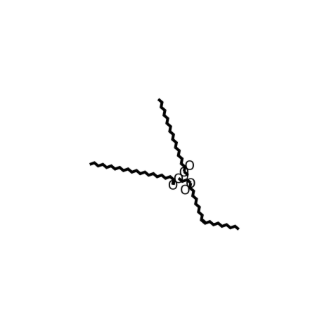 CCCCCCCC/C=C\CCCCCCCC(=O)O[C@H](COC(=O)CCCCCCCCCCCCCCCCC)COC(=O)CCCCCCCCCCCCCCCCCCCC